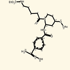 CCOC(=O)NCCCCC(=O)N1CCC(OOC(C)=O)CC1NC(=O)c1ccc(/C(N)=N\O)cc1